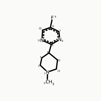 CN1CCC(c2ncc(F)cn2)CC1